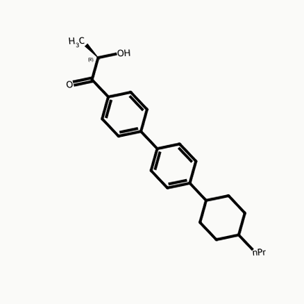 CCCC1CCC(c2ccc(-c3ccc(C(=O)[C@@H](C)O)cc3)cc2)CC1